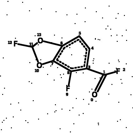 O=C(F)c1ccc2c(c1F)OC(F)O2